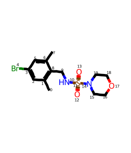 Cc1cc(Br)cc(C)c1CNS(=O)(=O)N1CCOCC1